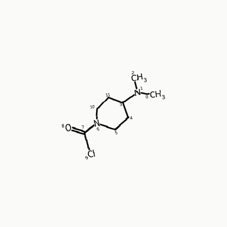 CN(C)C1CCN(C(=O)Cl)CC1